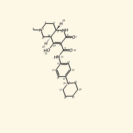 CN1CC[C@@H]2NC(=O)C(C(=O)Nc3ccc(N4CCCCC4)cc3)=C(O)[C@H]2C1